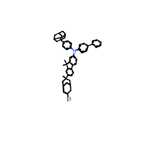 CCC1CC2CC(C1)CC(C)(c1ccc3c(c1)C(C)(C)c1cc(N(c4ccc(-c5ccccc5)cc4)c4ccc(C56CC7CC(CC(C7)C5)C6)cc4)ccc1-3)C2